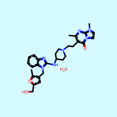 Cc1nc2n(C)ccn2c(=O)c1CCN1CCC(Nc2nc3ccccc3n2Cc2cc(CO)oc2C)CC1.O